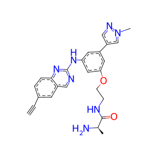 C#Cc1ccc2nc(Nc3cc(OCCNC(=O)[C@@H](C)N)cc(-c4cnn(C)c4)c3)ncc2c1